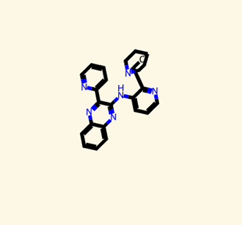 c1ccc(-c2nc3ccccc3nc2Nc2cccnc2C2CC3CCN2CC3)nc1